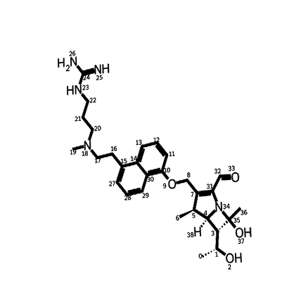 C[C@@H](O)[C@@H]1[C@H]2[C@@H](C)C(COc3cccc4c(CCN(C)CCCNC(=N)N)cccc34)=C(C=O)N2C1(C)O